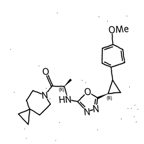 COc1ccc(C2C[C@H]2c2nnc(N[C@H](C)C(=O)N3CCC4(CC3)CC4)o2)cc1